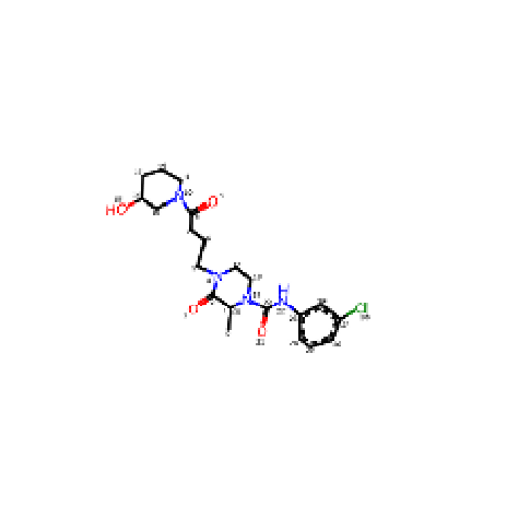 C[C@H]1C(=O)N(CCCC(=O)N2CCCC(O)C2)CCN1C(=O)Nc1cccc(Cl)c1